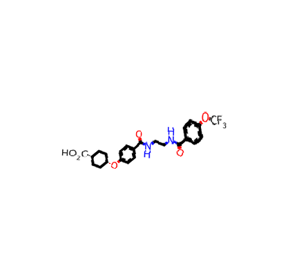 O=C(NCCNC(=O)c1ccc(O[C@H]2CC[C@@H](C(=O)O)CC2)cc1)c1ccc(OC(F)(F)F)cc1